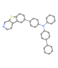 c1ccc(-c2ccc(N(c3ccccc3)c3ccc(-c4ccc5sc6cnccc6c5c4)cc3)cc2)cc1